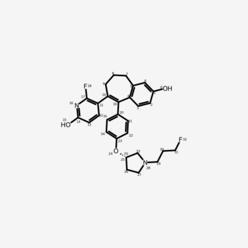 Oc1ccc2c(c1)CCCC(c1ccc(O)nc1F)=C2c1ccc(O[C@H]2CCN(CCCF)C2)cc1